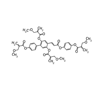 C=C(COC)C(=O)Oc1ccc(OC(=O)/C=C/c2cc(OC(=O)C(=C)COC)c(-c3ccc(OC(=O)C(=C)COC)cc3)cc2OC(=O)C(=C)COC)cc1